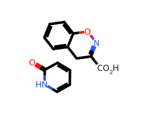 O=C(O)C1=NOc2ccccc2C1.O=c1cccc[nH]1